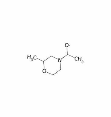 CC1CN(C(C)[O])CCO1